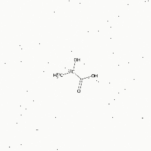 [13CH3][13CH](O)C(=O)O